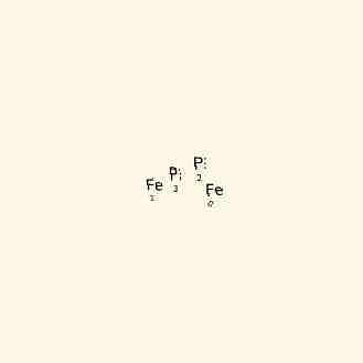 [Fe].[Fe].[P].[P]